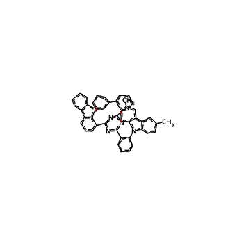 Cc1ccc2c(c1)c1cc(C)ccc1n2-c1ccccc1-c1nc(-c2ccccc2-c2ccccc2)nc(-c2cccc3c2sc2ccccc23)n1